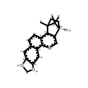 CC12CC[C@@H](c3cnc4c(ccc5cc6c(cc54)OCO6)c31)C2(C)C